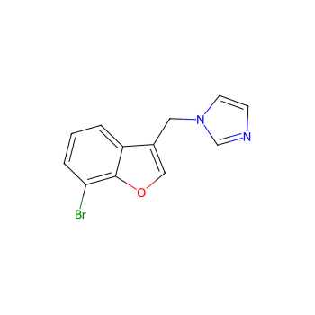 Brc1cccc2c(Cn3ccnc3)coc12